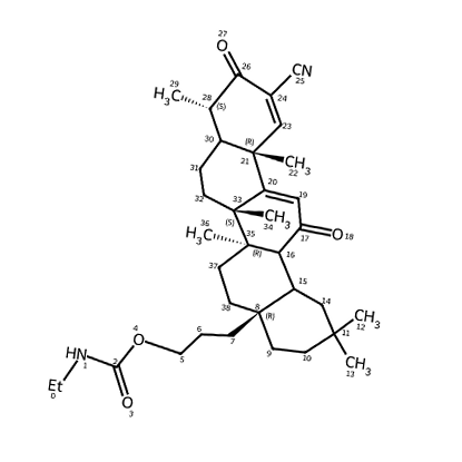 CCNC(=O)OCCC[C@]12CCC(C)(C)CC1C1C(=O)C=C3[C@@]4(C)C=C(C#N)C(=O)[C@@H](C)C4CC[C@@]3(C)[C@]1(C)CC2